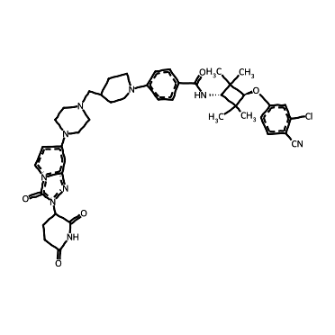 CC1(C)[C@H](NC(=O)c2ccc(N3CCC(CN4CCN(c5ccn6c(=O)n(C7CCC(=O)NC7=O)nc6c5)CC4)CC3)cc2)C(C)(C)[C@H]1Oc1ccc(C#N)c(Cl)c1